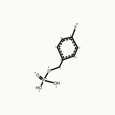 O=P(O)(O)OCc1ccc(F)cc1